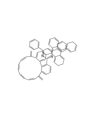 C=c1ccccccccc(=C)c2cccc(-c3nc(-c4ccccc4)cc(-c4ccccc4)n3)c2c2cc(-c3c4c(c(C5=CC=CCC5)c5ccccc35)=CCCC=4)ccc12